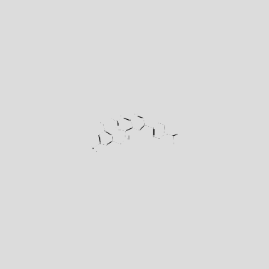 CC(=O)N1CC=C(c2cnc3nc(C)nc(N[C@H](C)c4cc(N)cc(C(F)(F)F)c4)c3c2)CC1